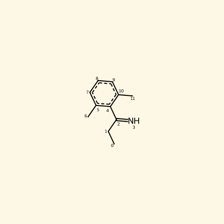 CCC(=N)c1c(C)cccc1C